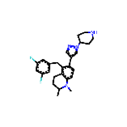 CC1CCc2c(ccc(-c3cnn(C4CCNCC4)c3)c2Cc2cc(F)cc(F)c2)N1C